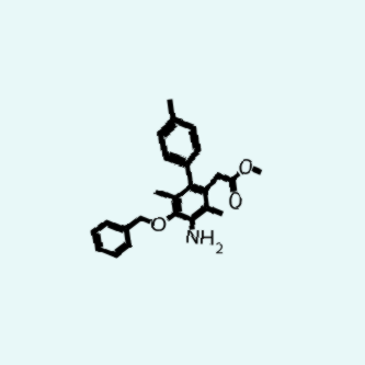 COC(=O)Cc1c(C)c(N)c(OCc2ccccc2)c(C)c1-c1ccc(C)cc1